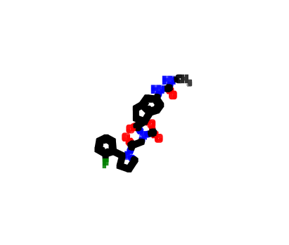 CNC(=O)Nc1ccc2c(c1)CCC21OC(=O)N(CC(=O)N2CCCC2c2ccccc2F)C1=O